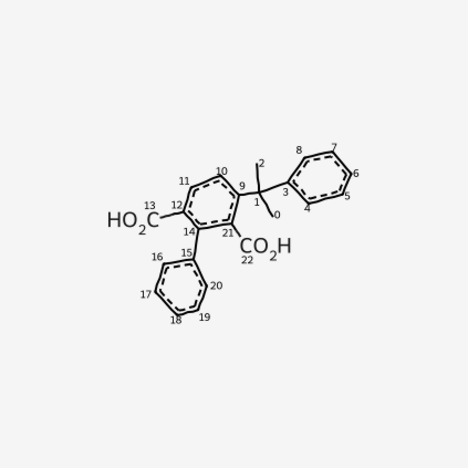 CC(C)(c1ccccc1)c1ccc(C(=O)O)c(-c2ccccc2)c1C(=O)O